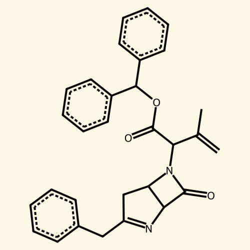 C=C(C)C(C(=O)OC(c1ccccc1)c1ccccc1)N1C(=O)C2N=C(Cc3ccccc3)CC21